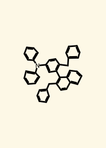 c1ccc(Cc2ccc(N(c3ccccc3)c3ccccc3)cc2-c2c(Cc3ccccc3)ccc3ccccc23)cc1